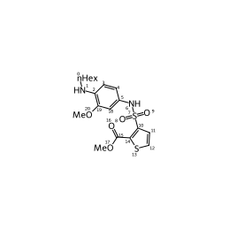 CCCCCCNc1ccc(NS(=O)(=O)c2ccsc2C(=O)OC)cc1OC